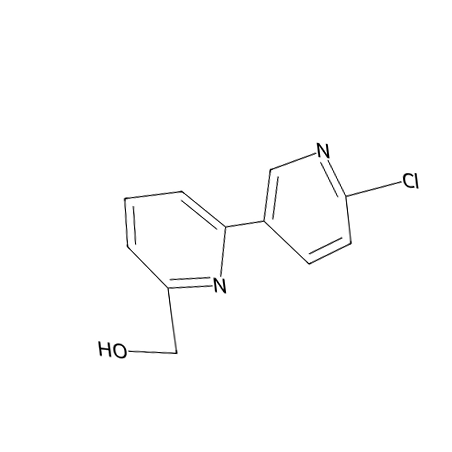 OCc1cccc(-c2ccc(Cl)nc2)n1